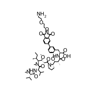 CC[C@H](C)[C@@H]([C@@H](CC(=O)N1CCC[C@H]1[C@H](OC)[C@@H](C)C(=O)N[C@@H](Cc1cccc(-c2ccc3c(c2)C(=O)N(OCCOCCN)C3=O)c1)C(=O)O)OC)N(C)C(=O)[C@@H](NC(=O)[C@H](C(C)C)N(C)C)C(C)C